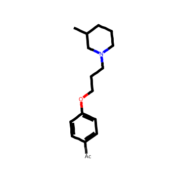 CC(=O)c1ccc(OCCCN2CCCC(C)C2)cc1